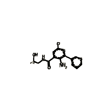 C[C@H](O)CNC(=O)c1cc(Cl)nc(-c2cccnc2)c1N